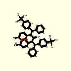 O=C(C(c1ccc(Cl)cc1)C(c1ccccc1)c1ccc(C(F)(F)F)cc1)C(c1ccc(Cl)cc1)C(c1ccccc1)c1ccc(C(F)(F)F)cc1